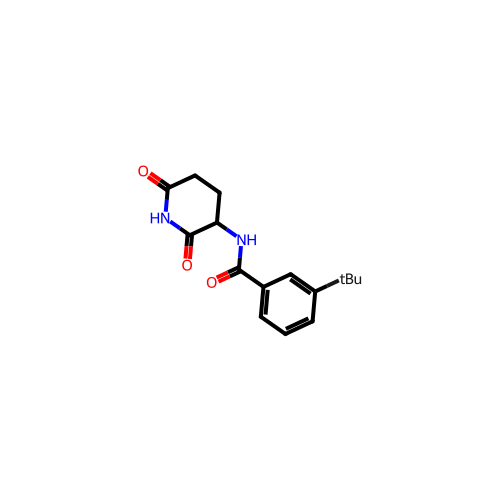 CC(C)(C)c1cccc(C(=O)NC2CCC(=O)NC2=O)c1